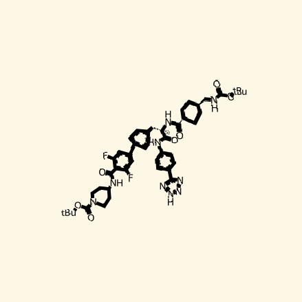 CC(C)(C)OC(=O)NC[C@H]1CC[C@H](C(=O)N[C@@H](Cc2ccc(-c3cc(F)c(C(=O)NC4CCN(C(=O)OC(C)(C)C)CC4)c(F)c3)cc2)C(=O)Nc2ccc(-c3nn[nH]n3)cc2)CC1